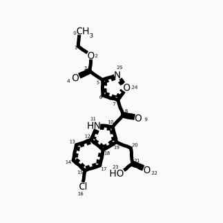 CCOC(=O)c1cc(C(=O)c2[nH]c3ccc(Cl)cc3c2CC(=O)O)on1